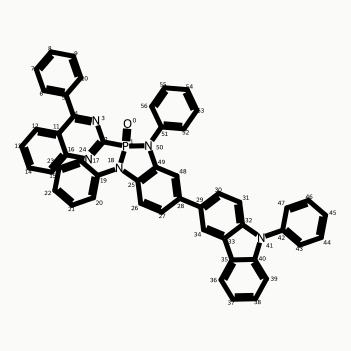 O=P1(c2nc(-c3ccccc3)c3ccccc3n2)N(c2ccccc2)c2ccc(-c3ccc4c(c3)c3ccccc3n4-c3ccccc3)cc2N1c1ccccc1